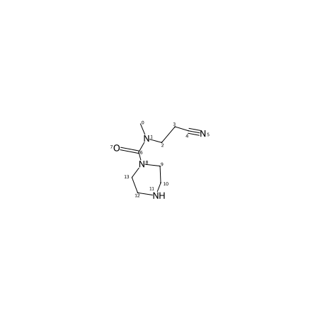 CN(CCC#N)C(=O)N1CCNCC1